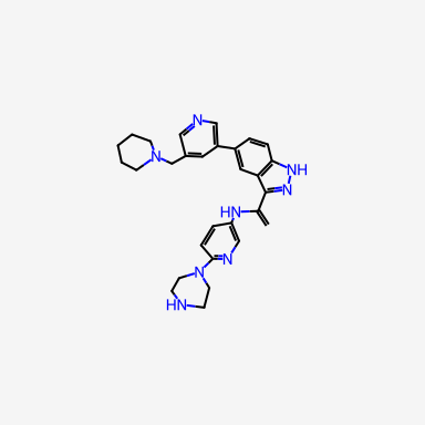 C=C(Nc1ccc(N2CCNCC2)nc1)c1n[nH]c2ccc(-c3cncc(CN4CCCCC4)c3)cc12